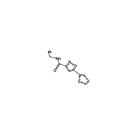 CC(C)CNC(=O)c1cc(-c2cccs2)on1